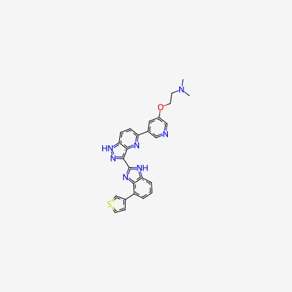 CN(C)CCOc1cncc(-c2ccc3[nH]nc(-c4nc5c(-c6ccsc6)cccc5[nH]4)c3n2)c1